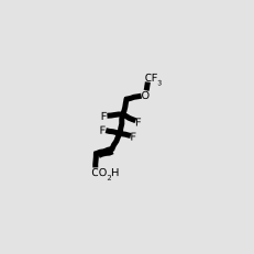 O=C(O)C=CC(F)(F)C(F)(F)COC(F)(F)F